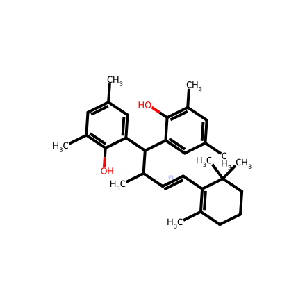 CC1=C(/C=C/C(C)C(c2cc(C)cc(C)c2O)c2cc(C)cc(C)c2O)C(C)(C)CCC1